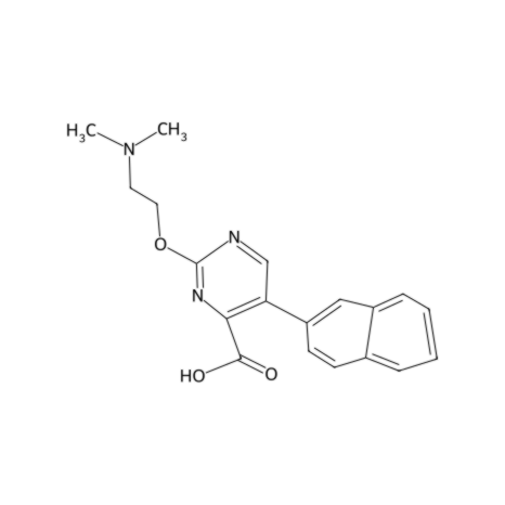 CN(C)CCOc1ncc(-c2ccc3ccccc3c2)c(C(=O)O)n1